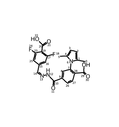 Cc1ccc(C)n1-c1cc(C(=O)N/N=C\c2cc(F)c(C(=O)O)c(F)c2)ccc1C(=O)O